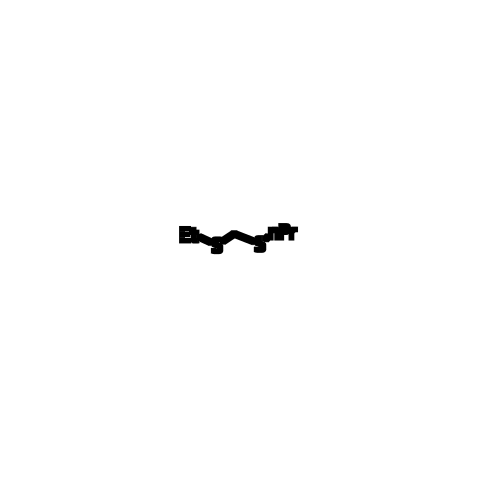 CCCSCSCC